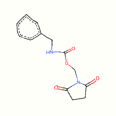 O=C(NCc1ccccc1)OCN1C(=O)CCC1=O